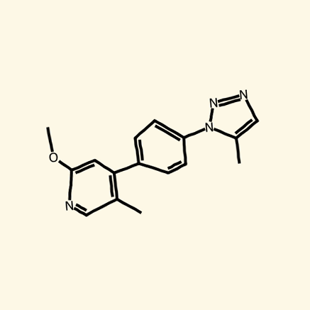 COc1cc(-c2ccc(-n3nncc3C)cc2)c(C)cn1